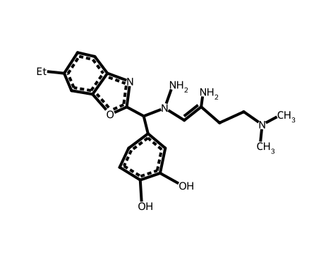 CCc1ccc2nc(C(c3ccc(O)c(O)c3)N(N)/C=C(\N)CCN(C)C)oc2c1